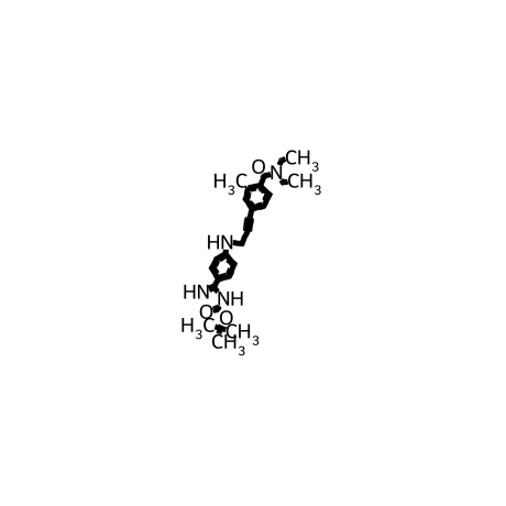 CCN(CC)C(=O)c1ccc(C#CCNc2ccc(C(=N)NC(=O)OC(C)(C)C)cc2)cc1C